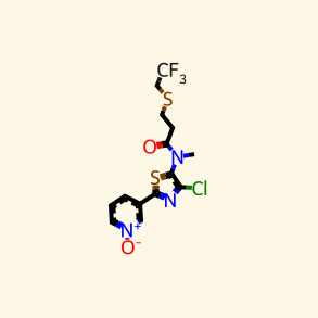 CN(C(=O)CCSCC(F)(F)F)c1sc(-c2ccc[n+]([O-])c2)nc1Cl